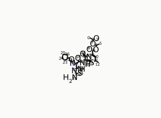 CC(=O)OC(C)OC(=O)C1=CC(C)S[C@@H]2C(NC(=O)/C(=N\OC3CCCC3)c3nsc(N)n3)C(=O)N12